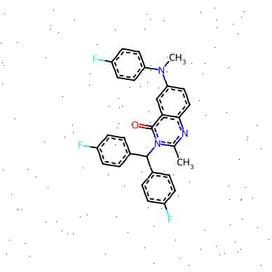 Cc1nc2ccc(N(C)c3ccc(F)cc3)cc2c(=O)n1C(c1ccc(F)cc1)c1ccc(F)cc1